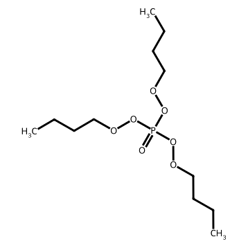 CCCCOOP(=O)(OOCCCC)OOCCCC